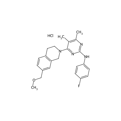 COCc1ccc2c(c1)CN(c1nc(Nc3ccc(F)cc3)nc(C)c1C)CC2.Cl